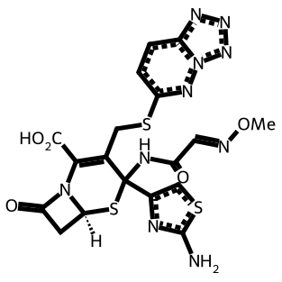 CON=CC(=O)NC1(c2csc(N)n2)S[C@H]2CC(=O)N2C(C(=O)O)=C1CSc1ccc2nnnn2n1